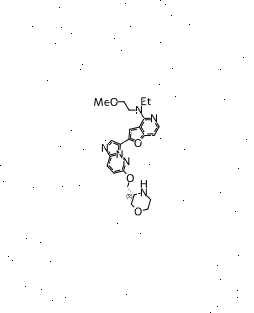 CCN(CCOC)c1nccc2oc(-c3cnc4ccc(OC[C@H]5COCCN5)nn34)cc12